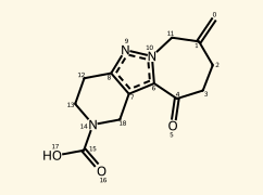 C=C1CCC(=O)c2c3c(nn2C1)CCN(C(=O)O)C3